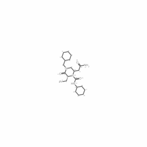 CC(C)C[C@H]1C(=O)N(CC2CCCCC2)CC(CC(N)=O)N1C(=O)NC1CCCCC1